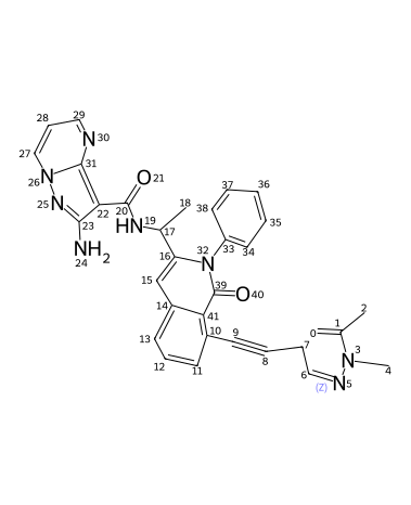 C=C(C)N(C)/N=C\CC#Cc1cccc2cc(C(C)NC(=O)c3c(N)nn4cccnc34)n(-c3ccccc3)c(=O)c12